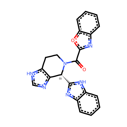 O=C(c1nc2ccccc2o1)N1CCc2[nH]cnc2[C@H]1c1nc2ccccc2[nH]1